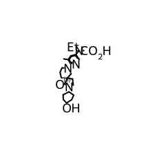 CCN(C(=O)O)c1cnc(N2CCC[C@]3(CCN([C@H]4CC[C@@H](O)CC4)C3=O)C2)c(C)c1